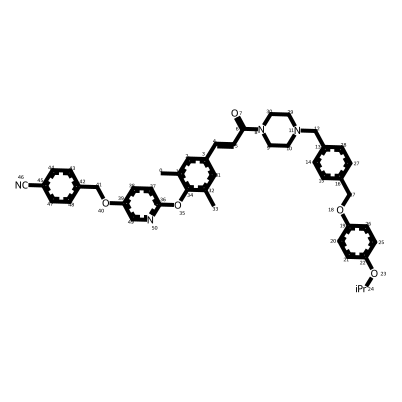 Cc1cc(/C=C/C(=O)N2CCN(Cc3ccc(COc4ccc(OC(C)C)cc4)cc3)CC2)cc(C)c1Oc1ccc(OCc2ccc(C#N)cc2)cn1